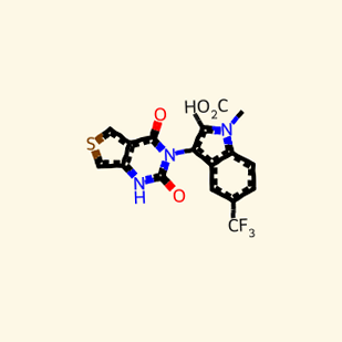 Cn1c(C(=O)O)c(-n2c(=O)[nH]c3cscc3c2=O)c2cc(C(F)(F)F)ccc21